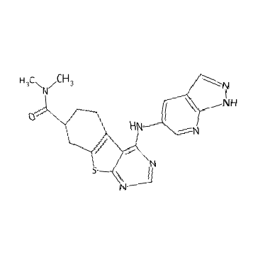 CN(C)C(=O)C1CCc2c(sc3ncnc(Nc4cnc5[nH]ncc5c4)c23)C1